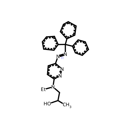 CCN(CC(C)O)c1ccc(/N=N/C(c2ccccc2)(c2ccccc2)c2ccccc2)nn1